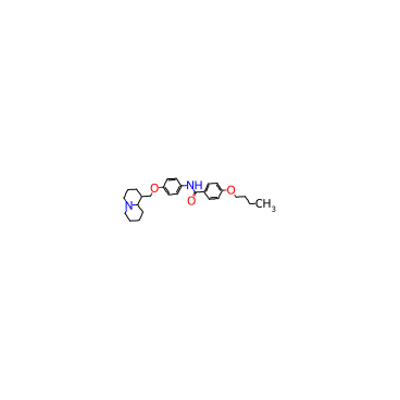 CCCCOc1ccc(C(=O)Nc2ccc(OCC3CCCN4CCCCC34)cc2)cc1